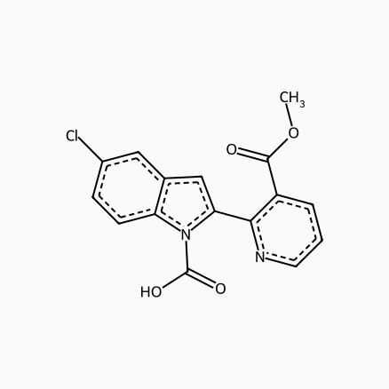 COC(=O)c1cccnc1-c1cc2cc(Cl)ccc2n1C(=O)O